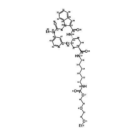 [CH2]COCCOCCOC(=O)NCCCCCCNC(=O)[C@H]1CC[C@H](NC(=O)c2cc3ccccc3n2CC(=O)N(CC)c2cccc(CC)c2)CC1